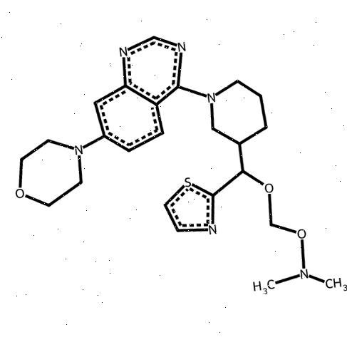 CN(C)OCOC(c1nccs1)C1CCCN(c2ncnc3cc(N4CCOCC4)ccc23)C1